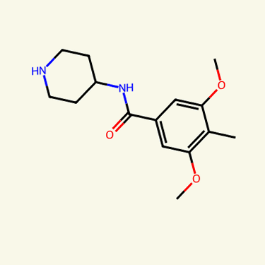 COc1cc(C(=O)NC2CCNCC2)cc(OC)c1C